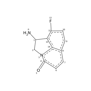 NC1Cn2c(=O)ccc3ccc(F)c1c32